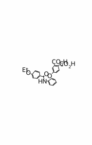 CCOc1ccc(C(=O)Nc2ccccc2Oc2ccc(C(=O)O)c(C(=O)O)c2)cc1